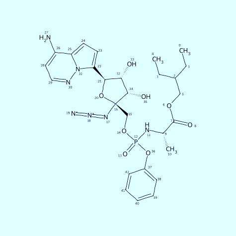 CCC(CC)COC(=O)[C@H](C)NP(=O)(OC[C@@]1(N=[N+]=[N-])O[C@@H](c2ccc3c(N)ccnn23)[C@H](O)[C@@H]1O)Oc1ccccc1